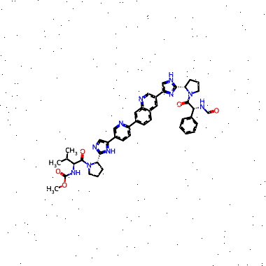 COC(=O)N[C@H](C(=O)N1CCC[C@H]1c1ncc(-c2ccc(-c3ccc4cc(-c5c[nH]c([C@@H]6CCCN6C(=O)[C@H](NC=O)c6ccccc6)n5)cnc4c3)nc2)[nH]1)C(C)C